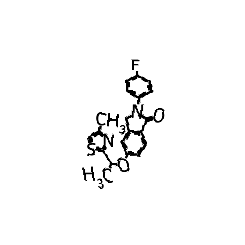 Cc1csc(C(C)Oc2ccc3c(c2)CN(c2ccc(F)cc2)C3=O)n1